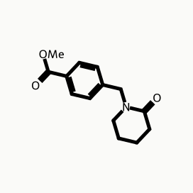 COC(=O)c1ccc(CN2CCCCC2=O)cc1